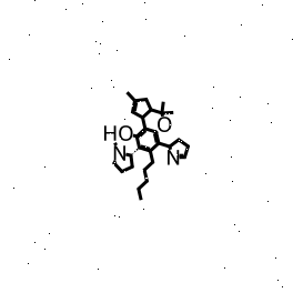 CCCCCc1c(C2CCC=N2)c2c(c(O)c1[C@@H]1CCCN1C)C1C=C(C)CC1C(C)(C)O2